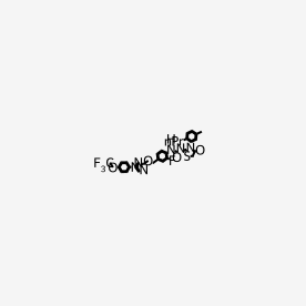 CCCc1ccc(C)cc1N1C(=O)CSC1=NC(=O)Nc1ccc(COc2ncn(-c3ccc(OC(F)(F)F)cc3)n2)cc1F